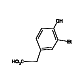 CCc1cc(CC(=O)O)ccc1O